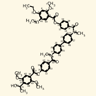 CCOc1cc(OC)c(C(=O)Oc2ccc(C(=O)N(C)c3ccc(-c4ccc(N(C)C(=O)c5ccc(OC(=O)c6cc(OC)c(C(C)O)cc6OC)cc5)cc4)cc3)cc2)cc1OC